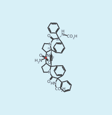 NC(=O)C1CCN2C(=O)C(NC(=O)O)(c3ccccc3)c3ccc(cc3)C12C#C[C@]12c3ccc(cc3)[C@](NC(=O)O)(c3ccccc3)C(=O)N1CCC2C(N)=O